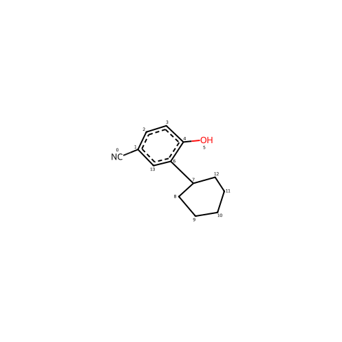 N#Cc1ccc(O)c(C2CCCCC2)c1